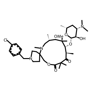 CO[C@]1(C)C[C@@H](C)CN(C)C2(CCN(Cc3ccc(Cl)cc3)CC2)COC(=O)C(C)(C)C(=O)[C@H](C)[C@H]1O[C@@H]1O[C@H](C)C[C@H](N(C)C)[C@H]1O